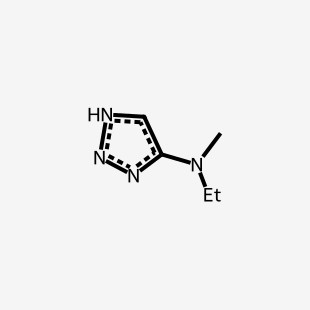 CCN(C)c1c[nH]nn1